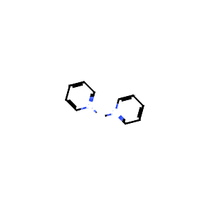 c1cc[n+]([SiH2][n+]2ccccc2)cc1